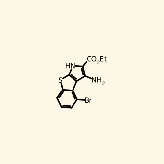 CCOC(=O)c1[nH]c2sc3cccc(Br)c3c2c1N